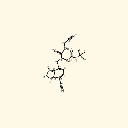 CC(C)(C)OC(=O)N[C@@H](Cc1ccc(C#N)c2nsnc12)C(=O)OCC#N